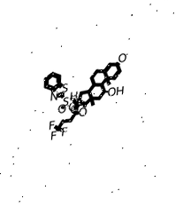 CC12C=CC(=O)C=C1CCC1C2[C@@H](O)CC2(C)C1C[C@@H]1OC(CCC(F)(F)F)O[C@]12C(=O)C[S+]([O-])c1nc2ccccc2s1